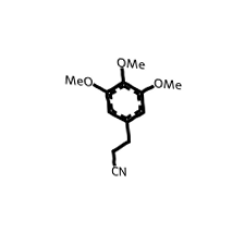 COc1cc(CCC#N)cc(OC)c1OC